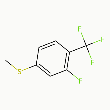 CSc1ccc(C(F)(F)F)c(F)c1